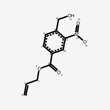 C=CCOC(=O)c1ccc(CO)c([N+](=O)[O-])c1